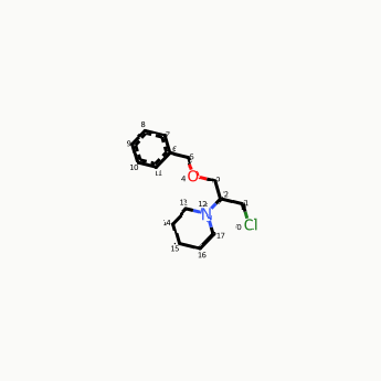 ClCC(COCc1ccccc1)N1CC[CH]CC1